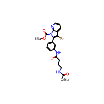 CC(C)COC(=O)NCCCC(=O)Nc1cccc(-c2c(Br)c3cccnc3n2C(=O)OC(C)(C)C)c1